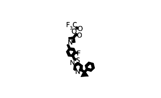 O=C(OC(=O)C(F)(F)F)C1CN(Cc2ccc(-c3nc4cnc(C5(c6ccccc6)C=C5)cc4s3)c(F)c2)C1